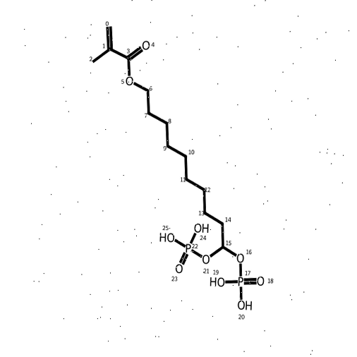 C=C(C)C(=O)OCCCCCCCCCC(OP(=O)(O)O)OP(=O)(O)O